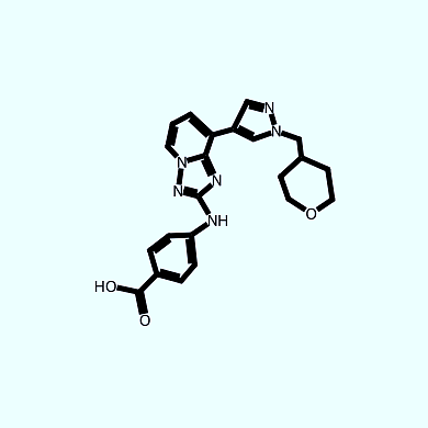 O=C(O)c1ccc(Nc2nc3c(-c4cnn(CC5CCOCC5)c4)cccn3n2)cc1